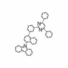 c1ccc(-c2cc(-c3ccccc3)nc(-c3cccc(-c4ccc(-n5c6ccccc6c6ccccc65)c5ccccc45)c3)n2)cc1